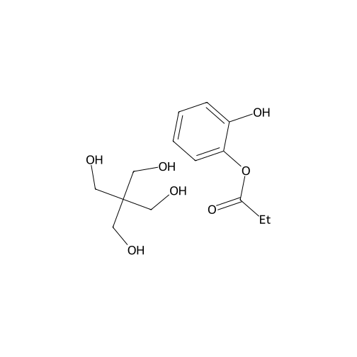 CCC(=O)Oc1ccccc1O.OCC(CO)(CO)CO